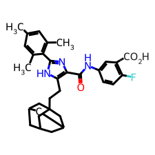 Cc1cc(C)c(-c2nc(C(=O)Nc3ccc(F)c(C(=O)O)c3)c(CCC34CC5CC(CC(C5)C3)C4)[nH]2)c(C)c1